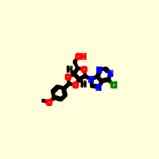 COc1ccc(C2O[C@@H]3[C@@H](CO)OC(n4cnc5c(Cl)ncnc54)[C@@H]3O2)cc1